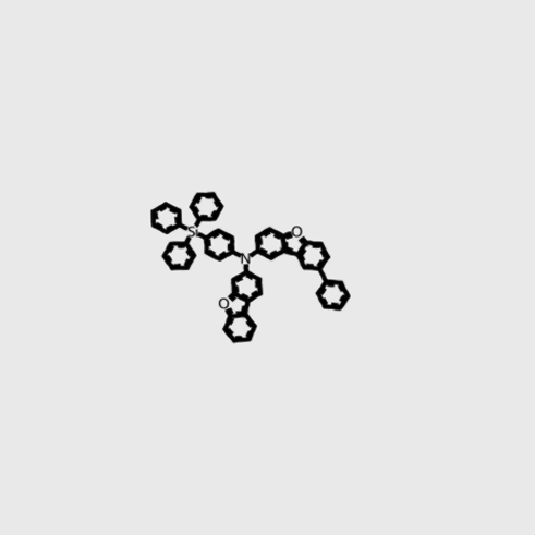 c1ccc(-c2ccc3oc4ccc(N(c5ccc([Si](c6ccccc6)(c6ccccc6)c6ccccc6)cc5)c5ccc6c(c5)oc5ccccc56)cc4c3c2)cc1